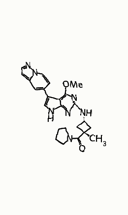 COc1nc(N[C@H]2C[C@@](C)(C(=O)N3CCCC3)C2)nc2[nH]cc(-c3ccn4nccc4c3)c12